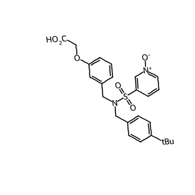 CC(C)(C)c1ccc(CN(Cc2cccc(OCC(=O)O)c2)S(=O)(=O)c2ccc[n+]([O-])c2)cc1